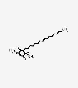 CCCCCCCCC=CCCCCCCCC1=C(OC)C(=O)C=C(OC)C1=O